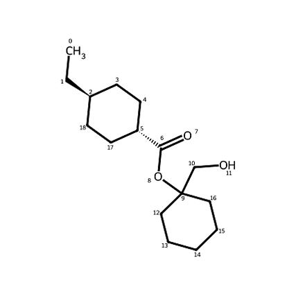 CC[C@H]1CC[C@H](C(=O)OC2(CO)CCCCC2)CC1